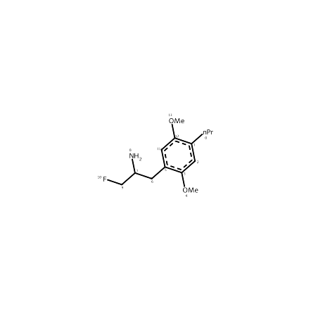 CCCc1cc(OC)c(CC(N)CF)cc1OC